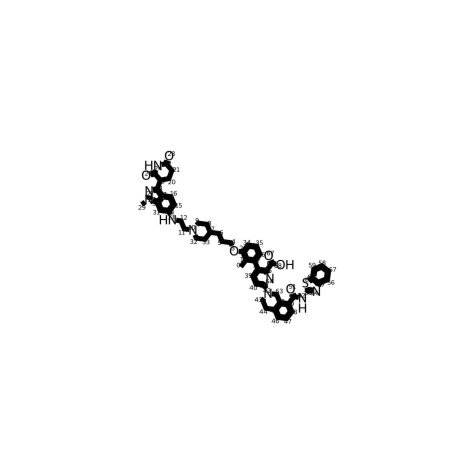 Cc1c(OCCCC2CCN(CCNc3ccc4c(C5CCC(=O)NC5=O)nn(C)c4c3)CC2)cccc1-c1ccc(N2CCc3cccc(C(=O)Nc4nc5ccccc5s4)c3C2)nc1C(=O)O